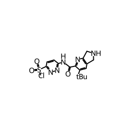 CC(C)(C)c1cc2c(nc1C(=O)Nc1ccc(S(=O)(=O)Cl)nn1)CNC2